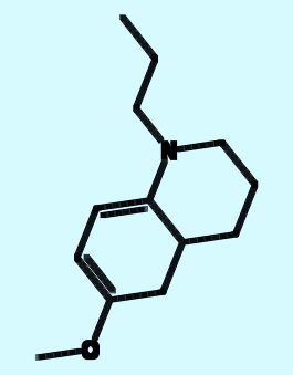 CCCN1CCCC2CC(OC)=CC=C21